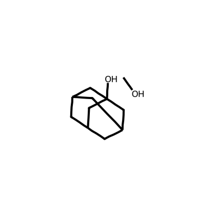 CO.OC12CC3CC(CC(C3)C1)C2